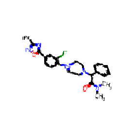 CC(C)c1noc(-c2ccc(N3CCN(C(C(=O)N(C)C)c4ccccc4)CC3)c(F)c2)n1